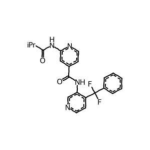 CC(C)C(=O)Nc1cc(C(=O)Nc2cnccc2C(F)(F)c2ccccc2)ccn1